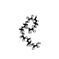 CCCCC(CC)C(=O)OOC(C)(C)CC(C)OC(=O)C(=O)OOC(C)(C)CCC(C)(C)OOC(=O)C(=O)OC(C)CC(C)(C)OOC(=O)C(CC)CCCC